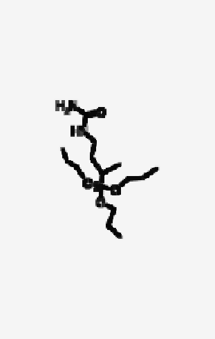 CCCO[Si](OCCC)(OCCC)C(C)CCNC(N)=O